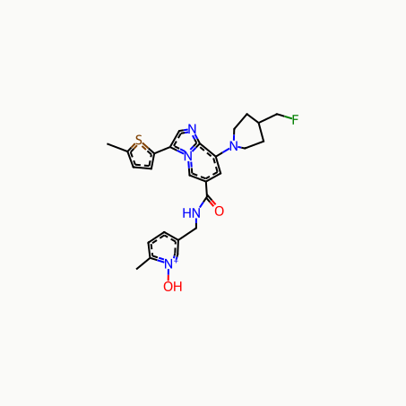 Cc1ccc(-c2cnc3c(N4CCC(CF)CC4)cc(C(=O)NCc4ccc(C)[n+](O)c4)cn23)s1